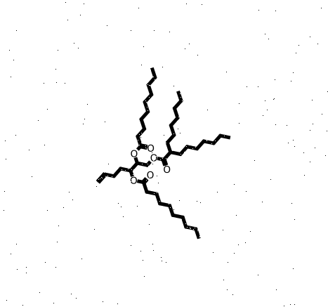 C=CCCC(OC(=O)CCCCCCCCC)C(COC(=O)C(CCCCCCC)CCCCCCC)OC(=O)CCCCCCCCC